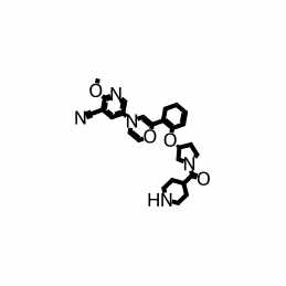 COc1ncc(N2C=COC(C3=C(O[C@H]4CCN(C(=O)C5CCNCC5)C4)C=CCC3)=C2)cc1C#N